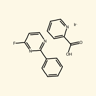 Fc1ccnc(-c2ccccc2)n1.O=C(O)c1ccccn1.[Ir]